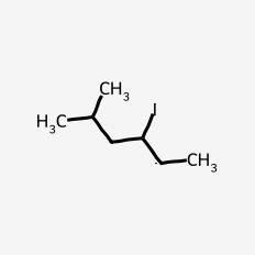 C[CH]C(I)CC(C)C